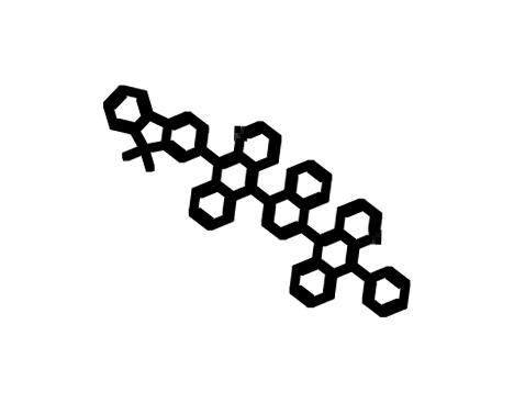 CC1(C)c2ccccc2-c2ccc(-c3c4ccccc4c(-c4ccc(-c5c6ccccc6c(-c6ccccc6)c6ncccc56)c5ccccc45)c4cccnc34)cc21